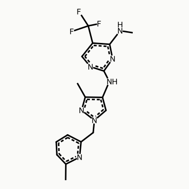 CNc1nc(Nc2cn(Cc3cccc(C)n3)nc2C)ncc1C(F)(F)F